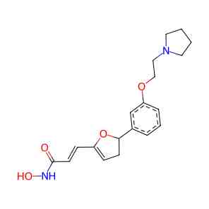 O=C(/C=C/C1=CCC(c2cccc(OCCN3CCCC3)c2)O1)NO